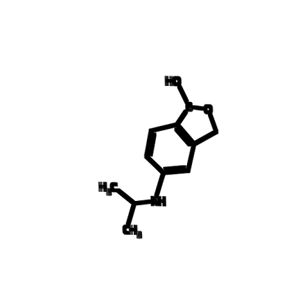 CC(C)Nc1ccc2c(c1)COB2O